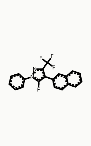 Fc1c(-c2ccc3ccccc3c2)c(C(F)(F)F)nn1-c1ccccc1